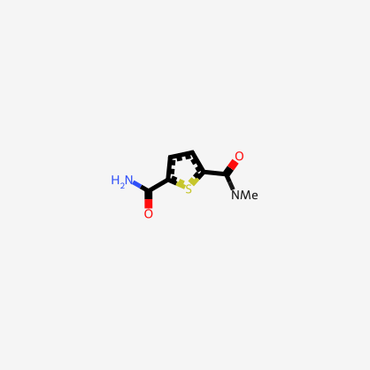 CNC(=O)c1ccc(C(N)=O)s1